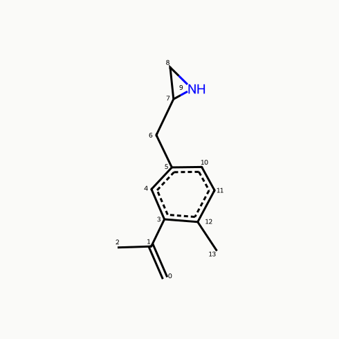 C=C(C)c1cc(CC2CN2)ccc1C